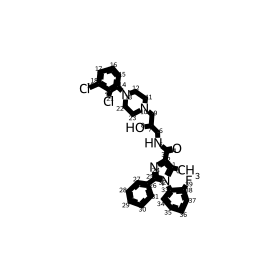 Cc1c(C(=O)NCC(O)CN2CCN(c3cccc(Cl)c3Cl)CC2)nc(-c2ccccc2)n1-c1ccccc1F